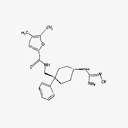 CN/C(=N\C#N)N[C@H]1CC[C@](CNC(=O)c2cc(C)c(C)o2)(c2ccccc2)CC1